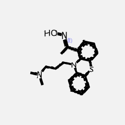 C/C(=N\O)c1cccc2c1N(CCCN(C)C)c1ccccc1S2